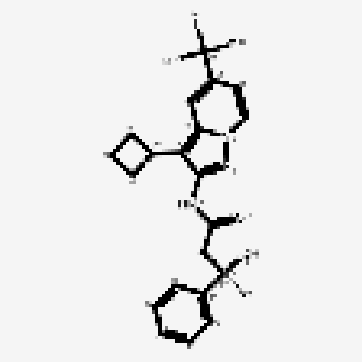 C[C@@](O)(CC(=O)Nc1nn2ccc(C(F)(F)F)cc2c1C1CCC1)c1ccccc1